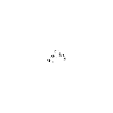 C.[AlH3].[SiH4].[SiH4].[Zr]